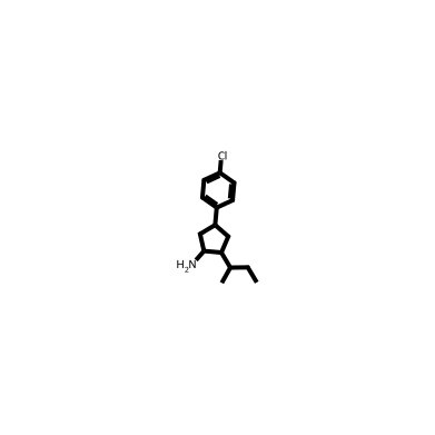 CCC(C)C1CC(c2ccc(Cl)cc2)CC1N